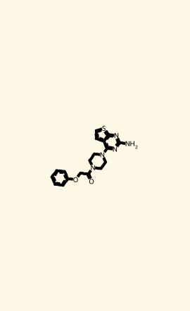 Nc1nc(N2CCN(C(=O)COc3ccccc3)CC2)c2ccsc2n1